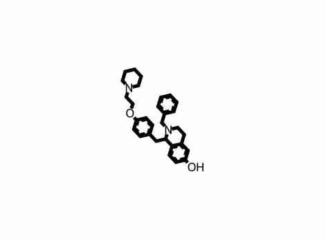 Oc1ccc2c(c1)CCN(Cc1ccccc1)C2Cc1ccc(OCCN2CCCCC2)cc1